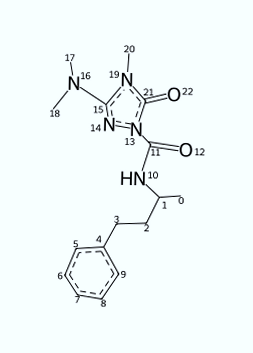 CC(CCc1ccccc1)NC(=O)n1nc(N(C)C)n(C)c1=O